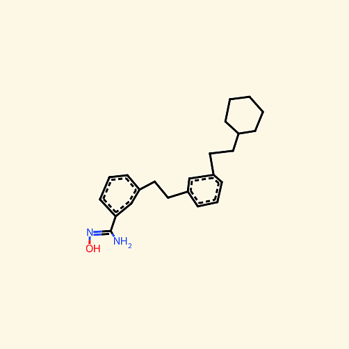 N/C(=N\O)c1cccc(CCc2cccc(CCC3CCCCC3)c2)c1